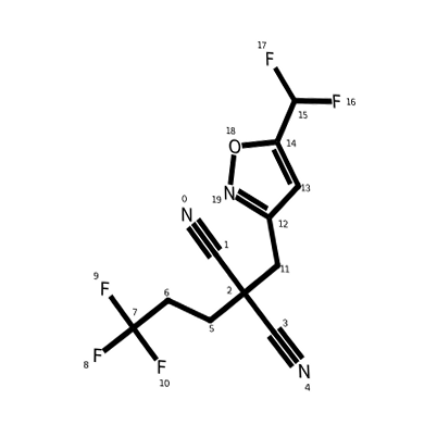 N#CC(C#N)(CCC(F)(F)F)Cc1cc(C(F)F)on1